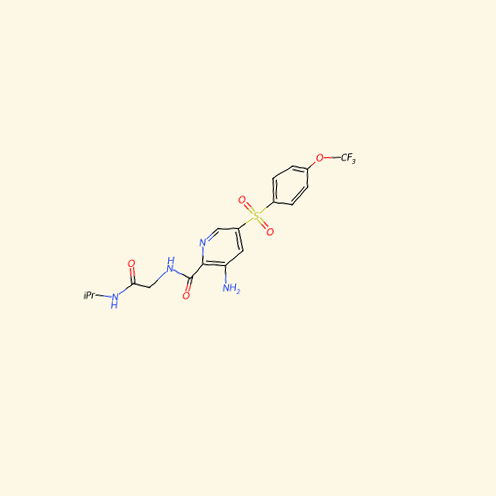 CC(C)NC(=O)CNC(=O)c1ncc(S(=O)(=O)c2ccc(OC(F)(F)F)cc2)cc1N